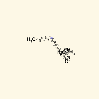 CCCCCCCC/C=C\CCCCCCCCOC(CC(=O)[O-])C[N+](C)(C)C